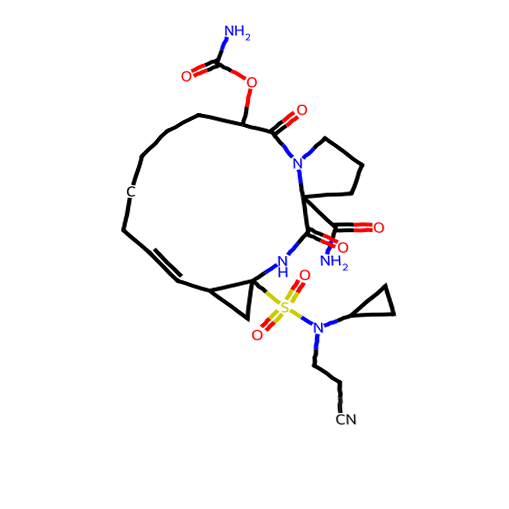 N#CCCN(C1CC1)S(=O)(=O)C12CC1C=CCCCCCC(OC(N)=O)C(=O)N1CCCC1(C(N)=O)C(=O)N2